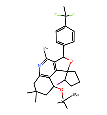 CC(C)c1nc2c(c3c1[C@@H](c1ccc(C(C)(F)F)cc1)OC31CCCC1I)C(O[Si](C)(C)C(C)(C)C)CC(C)(C)C2